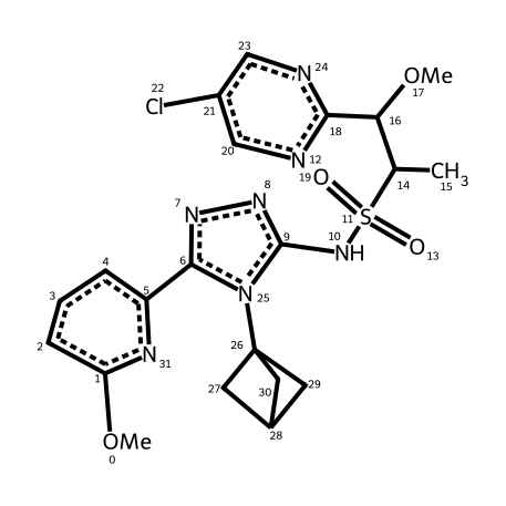 COc1cccc(-c2nnc(NS(=O)(=O)C(C)C(OC)c3ncc(Cl)cn3)n2C23CC(C2)C3)n1